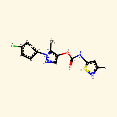 Cc1cc(NC(=O)Oc2cnn(-c3ccc(Cl)cc3)c2C(F)(F)F)sn1